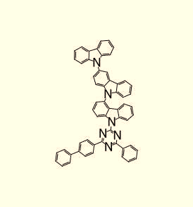 c1ccc(-c2ccc(-c3nc(-c4ccccc4)nc(-n4c5ccccc5c5c(-n6c7ccccc7c7cc(-n8c9ccccc9c9ccccc98)ccc76)cccc54)n3)cc2)cc1